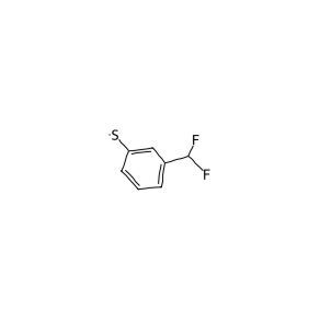 FC(F)c1cccc([S])c1